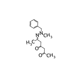 CC(=O)CC(=O)CC(C)=NN(C)Cc1ccccc1